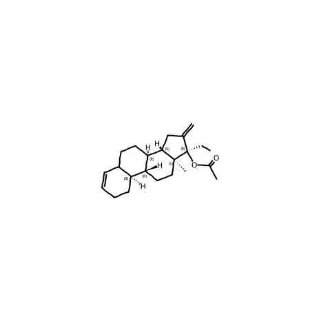 C=C1C[C@H]2[C@@H]3CCC4C=CCC[C@@H]4[C@H]3CC[C@]2(C)[C@]1(CC)OC(C)=O